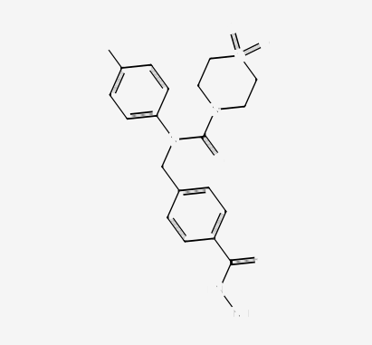 NNC(=O)c1ccc(CN(C(=O)N2CCS(=O)(=O)CC2)c2ccc(F)cc2)cc1